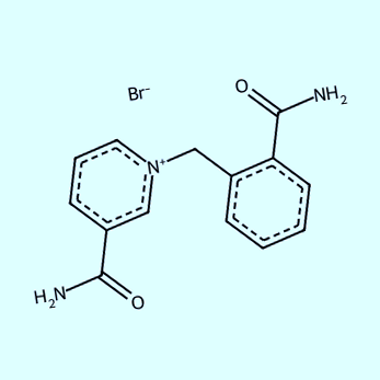 NC(=O)c1ccc[n+](Cc2ccccc2C(N)=O)c1.[Br-]